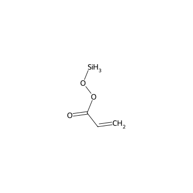 C=CC(=O)OO[SiH3]